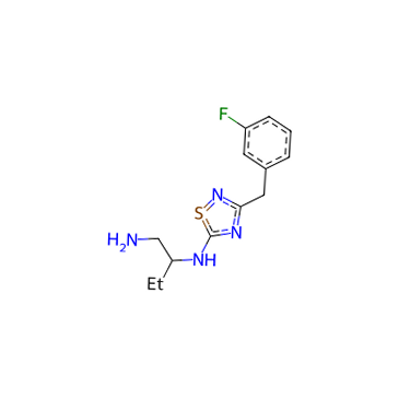 CCC(CN)Nc1nc(Cc2cccc(F)c2)ns1